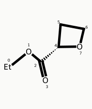 CCOC(=O)[C@@H]1CCO1